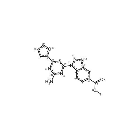 COC(=O)c1ccc2c(c1)nnn2-c1cc(-c2ccco2)nc(N)n1